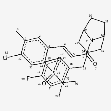 Cc1cc(/C=C/C(=O)N2C3CCC2CN(Cc2ccc(F)cc2)C3)c(S(=O)(=O)N(C)C)cc1Cl